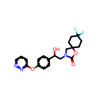 O=C1OC2(CCC(F)(F)CC2)CN1CC(O)c1ccc(Oc2cccnn2)cc1